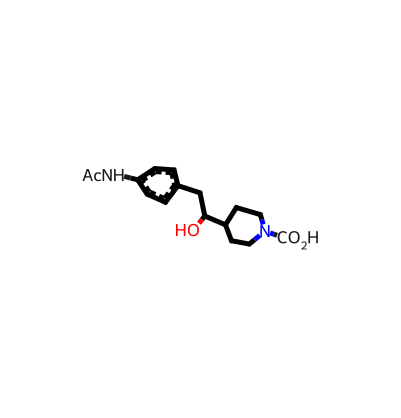 CC(=O)Nc1ccc(CC(O)C2CCN(C(=O)O)CC2)cc1